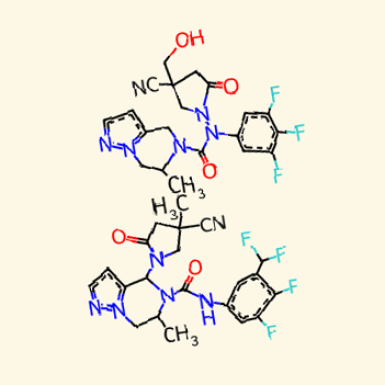 CC1Cn2nccc2C(N2CC(C)(C#N)CC2=O)N1C(=O)Nc1cc(F)c(F)c(C(F)F)c1.CC1Cn2nccc2CN1C(=O)N(c1cc(F)c(F)c(F)c1)N1CC(C#N)(CO)CC1=O